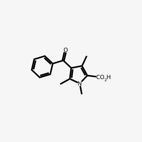 Cc1c(C(=O)c2ccccc2)c(C)n(C)c1C(=O)O